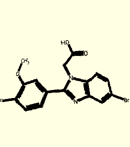 COc1cc(-c2nc3cc(Br)ccc3n2CC(=O)O)ccc1F